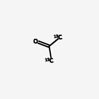 [13CH3]C([13CH3])=O